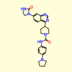 O=C(Nc1ccc(N2CCCC2)cc1)N1CCC(c2ncnc3cc(N4CCNC4=O)ccc23)CC1